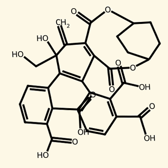 C=C1C2=C(C(=O)OC3CCC(CC3)OC2=O)C(c2cccc(C(=O)O)c2C(=O)O)=C(c2cccc(C(=O)O)c2C(=O)O)C1(O)CO